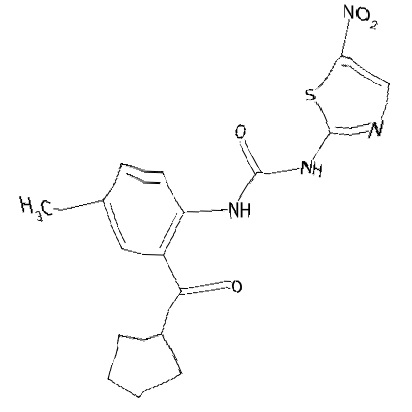 Cc1ccc(NC(=O)Nc2ncc([N+](=O)[O-])s2)c(C(=O)C2CCCC2)c1